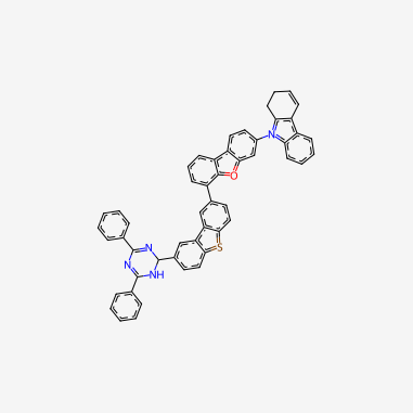 C1=Cc2c(n(-c3ccc4c(c3)oc3c(-c5ccc6sc7ccc(C8N=C(c9ccccc9)N=C(c9ccccc9)N8)cc7c6c5)cccc34)c3ccccc23)CC1